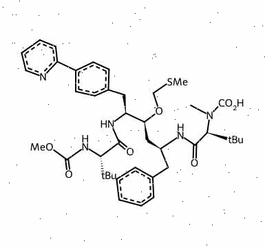 COC(=O)N[C@H](C(=O)N[C@@H](Cc1ccc(-c2ccccn2)cc1)[C@H](C[C@H](Cc1ccccc1)NC(=O)[C@@H](N(C)C(=O)O)C(C)(C)C)OCSC)C(C)(C)C